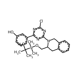 CC(C)(C)[Si](C)(C)OCC1Cc2ccccc2CN1c1nc(Cl)nc(-c2cccc(O)c2)n1